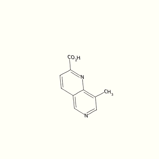 Cc1cncc2ccc(C(=O)O)nc12